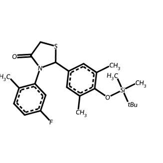 Cc1ccc(F)cc1N1C(=O)CSC1c1cc(C)c(O[Si](C)(C)C(C)(C)C)c(C)c1